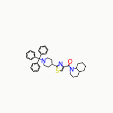 O=C(c1csc(C2CCN(C(c3ccccc3)(c3ccccc3)c3ccccc3)CC2)n1)N1CCCC2CCCCC21